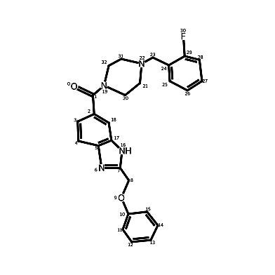 O=C(c1ccc2nc(COc3ccccc3)[nH]c2c1)N1CCN(Cc2ccccc2F)CC1